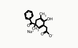 CC1=C(O)C(CC(=O)[O-])=CC(C)(C(=O)c2ccccc2)C1.[Na+]